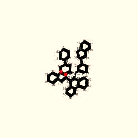 c1ccc(-c2cccc(N(c3cccc(-c4ccc5ccccc5c4)c3)c3c(-c4ccc5ccccc5c4)c4ccccc4c4ccccc34)c2)cc1